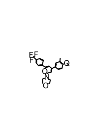 COc1ccc(C(C=Cc2ccc(C(F)(F)F)cc2)=CC(=O)N2CCOCC2)cc1C